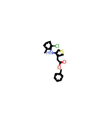 Cc1cccc(Cl)c1Nc1cscc1CC(=O)OCc1ccccc1